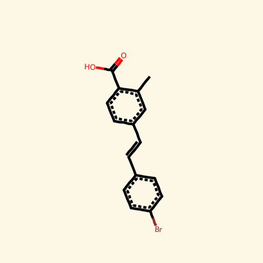 Cc1cc(/C=C/c2ccc(Br)cc2)ccc1C(=O)O